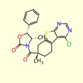 C[C@H]1[C@@H](c2ccccc2)OC(=O)N1C(=O)[C@@]1(C)CCc2c(sc3ncnc(Cl)c23)C1